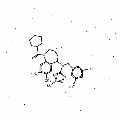 Cc1cc2c(cc1C(F)(F)F)N(C(=O)C1CCCCC1)CCCC2N(Cc1cc(C(F)(F)F)cc(C(F)(F)F)c1)c1nnn(C)n1